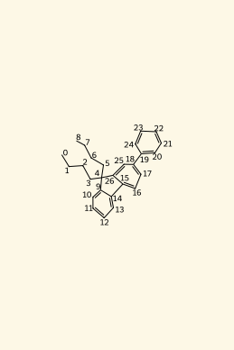 CCCCC1(CCCC)c2ccccc2-c2ccc(-c3ccccc3)cc21